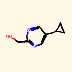 OCc1ncc(C2CC2)cn1